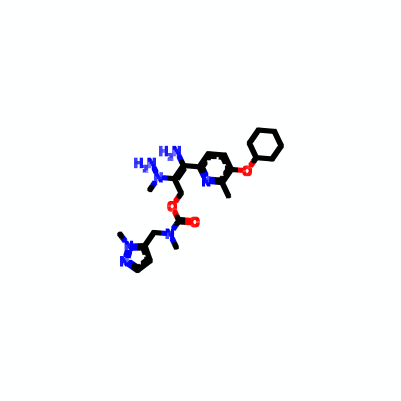 Cc1nc(/C(N)=C(\COC(=O)N(C)Cc2ccnn2C)N(C)N)ccc1OC1CCCCC1